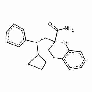 NC(=O)C1(C[C@@H](c2ccccc2)C2CCC2)CCc2ccccc2O1